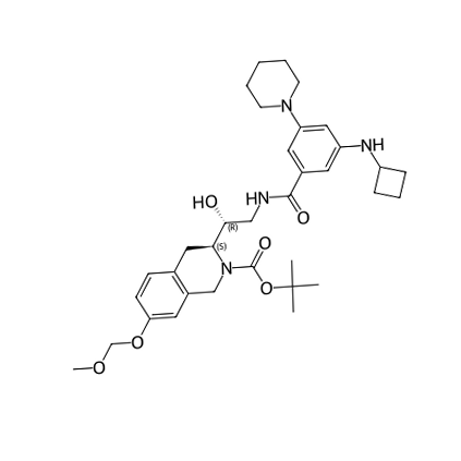 COCOc1ccc2c(c1)CN(C(=O)OC(C)(C)C)[C@H]([C@H](O)CNC(=O)c1cc(NC3CCC3)cc(N3CCCCC3)c1)C2